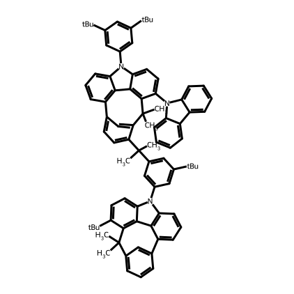 CC(C)(C)c1cc(-n2c3cccc4c3c3c(c(-n5c6ccccc6c6ccccc65)ccc32)C(C)(C)c2cc-4ccc2C(C)(C)c2cc(-n3c4cccc5c4c4c(c(C(C)(C)C)ccc43)C(C)(C)c3cccc-5c3)cc(C(C)(C)C)c2)cc(C(C)(C)C)c1